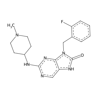 CN1CCC(Nc2ncc3[nH]c(=O)n(Cc4ccccc4F)c3n2)CC1